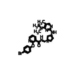 Cc1cnc(N[C@H]2CC[C@@H](CNC(=O)c3cccnc3Oc3ccc(Br)cc3)C2)nc1N(C)C